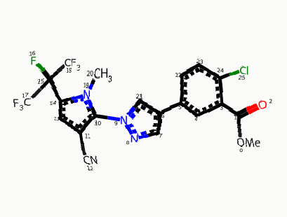 COC(=O)c1cc(-c2cnn(-c3c(C#N)cc(C(F)(C(F)(F)F)C(F)(F)F)n3C)c2)ccc1Cl